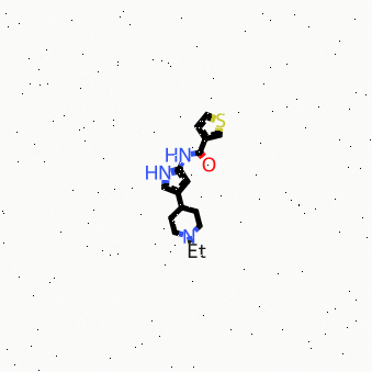 CCN1CCC(c2c[nH]c(NC(=O)c3ccsc3)c2)CC1